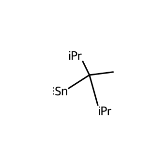 CC(C)[C](C)([Sn])C(C)C